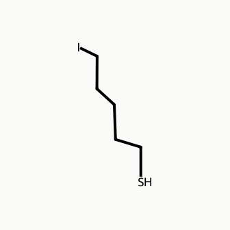 SCCCCCI